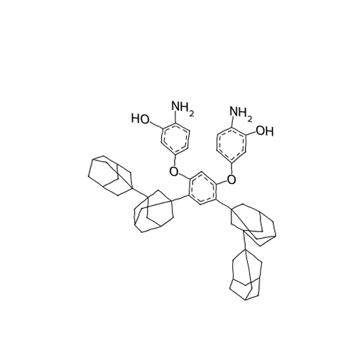 Nc1ccc(Oc2cc(Oc3ccc(N)c(O)c3)c(C34CC5CC(C3)CC(C36CC7CC(CC(C7)C3)C6)(C5)C4)cc2C23CC4CC(C2)CC(C25CC6CC(CC(C6)C2)C5)(C4)C3)cc1O